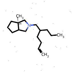 C=CCCC(CCC)CN1CC2CCC[C@@]2(C)C1